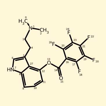 CN(C)CCc1c[nH]c2cccc(OC(=O)c3c(F)c(F)c(F)c(F)c3F)c12